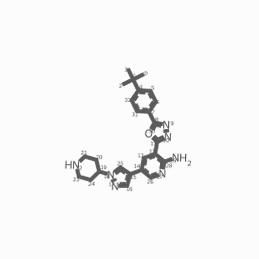 CC(C)(C)c1ccc(-c2nnc(-c3cc(-c4cnn(C5CCNCC5)c4)cnc3N)o2)cc1